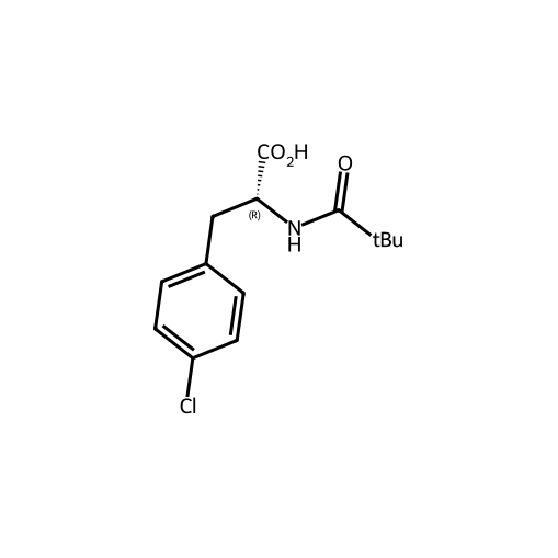 CC(C)(C)C(=O)N[C@H](Cc1ccc(Cl)cc1)C(=O)O